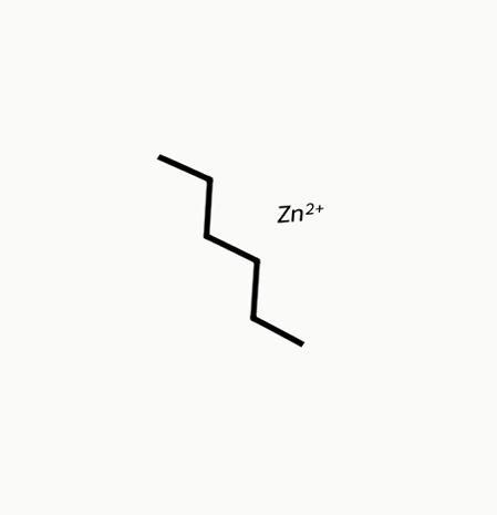 CCCCCC.[Zn+2]